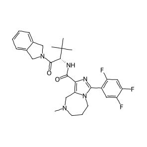 CN1CCCn2c(-c3cc(F)c(F)cc3F)nc(C(=O)N[C@H](C(=O)N3Cc4ccccc4C3)C(C)(C)C)c2C1